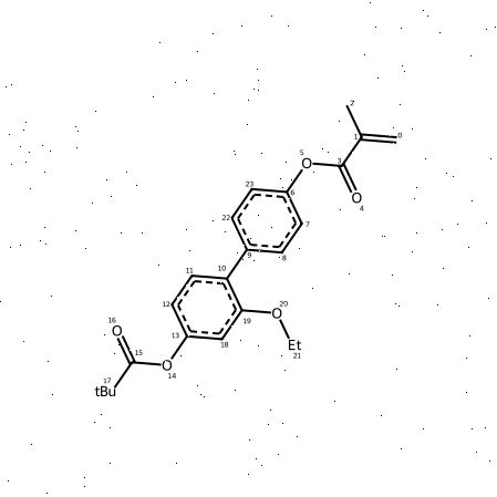 C=C(C)C(=O)Oc1ccc(-c2ccc(OC(=O)C(C)(C)C)cc2OCC)cc1